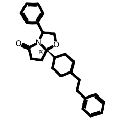 O=C1CC[C@@]2(C3CCC(CCc4ccccc4)CC3)OCC(c3ccccc3)N12